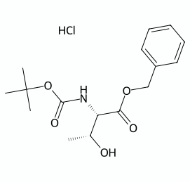 C[C@@H](O)[C@H](NC(=O)OC(C)(C)C)C(=O)OCc1ccccc1.Cl